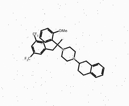 [CH2]C(Cc1cc(C(F)(F)F)cc(C(F)(F)F)c1)(c1ccccc1OC)N1CCN(C2CCc3ccccc3C2)CC1